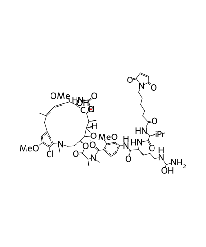 COc1cc(NC(=O)[C@H](CCCNC(N)O)NC(=O)[C@@H](NC(=O)CCCCCN2C(=O)C=CC2=O)C(C)C)ccc1C(=O)N(C)[C@@H](C)C(=O)O[C@H]1CCN(C)c2cc(cc(OC)c2Cl)C/C(C)=C/C=C/[C@@H](OC)[C@@]2(O)C[C@H](OC(=O)N2)[C@@H](C)[C@@H]2O[C@@]12C